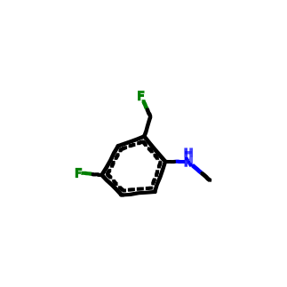 CNc1ccc(F)cc1CF